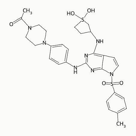 CC(=O)N1CCN(c2ccc(Nc3nc(NC4CCS(O)(O)C4)c4ccn(S(=O)(=O)c5ccc(C)cc5)c4n3)cc2)CC1